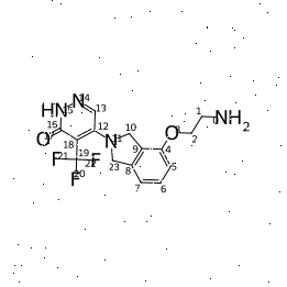 NCCOc1cccc2c1CN(c1cn[nH]c(=O)c1C(F)(F)F)C2